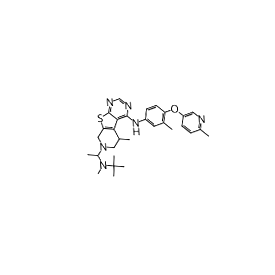 Cc1ccc(Oc2ccc(Nc3ncnc4sc5c(c34)C(C)CN(C(C)N(C)C(C)(C)C)C5)cc2C)cn1